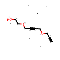 C#CCOCC#CCOCCO